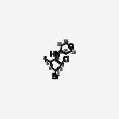 Clc1cc(Br)cc(I)c1NC1CCOCC1